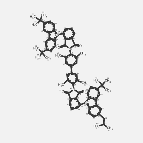 Cc1cc(-c2cc(C)c(N3C(=O)c4cccc(-n5c6ccc(C(C)(C)C)cc6c6cc(C(C)(C)C)ccc65)c4C3=O)c(C)c2)cc(C)c1N1C(=O)c2cccc(-n3c4ccc(CC(C)C)cc4c4cc(C(C)(C)C)ccc43)c2C1=O